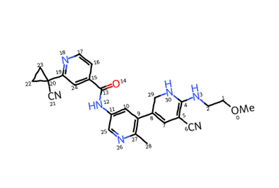 COCCNC1=C(C#N)C=C(c2cc(NC(=O)c3ccnc(C4(C#N)CC4)c3)cnc2C)CN1